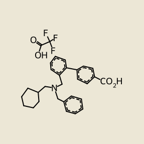 O=C(O)C(F)(F)F.O=C(O)c1ccc(-c2ccccc2CN(Cc2ccccc2)CC2CCCCC2)cc1